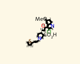 COc1ccc2ncc(Cl)c(C(=O)CC[C@H]3CCN(CC#Cc4cccs4)C[C@H]3C(=O)O)c2c1